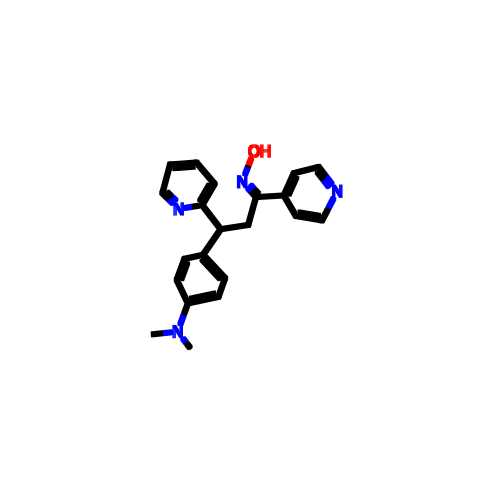 CN(C)c1ccc(C(CC(=NO)c2ccncc2)c2ccccn2)cc1